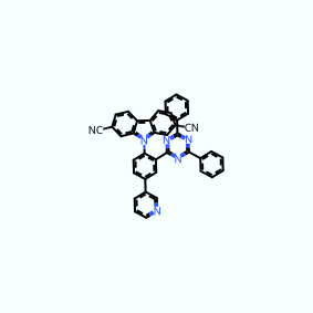 N#Cc1ccc2c3ccc(C#N)cc3n(-c3ccc(-c4cccnc4)cc3-c3nc(-c4ccccc4)nc(-c4ccccc4)n3)c2c1